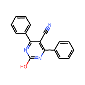 N#Cc1c(-c2ccccc2)nc(O)nc1-c1ccccc1